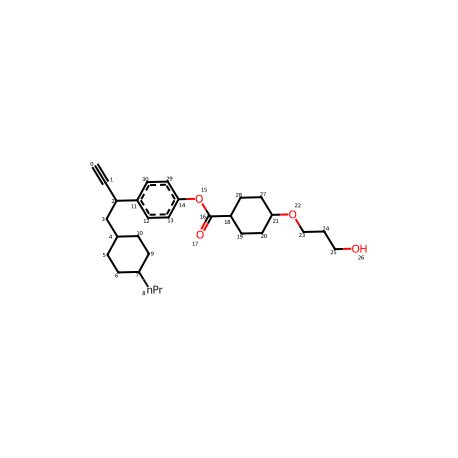 C#CC(CC1CCC(CCC)CC1)c1ccc(OC(=O)C2CCC(OCCCO)CC2)cc1